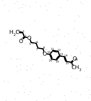 C=CC(=O)OCCCCOc1ccc(/C=C/C(C)=O)cc1